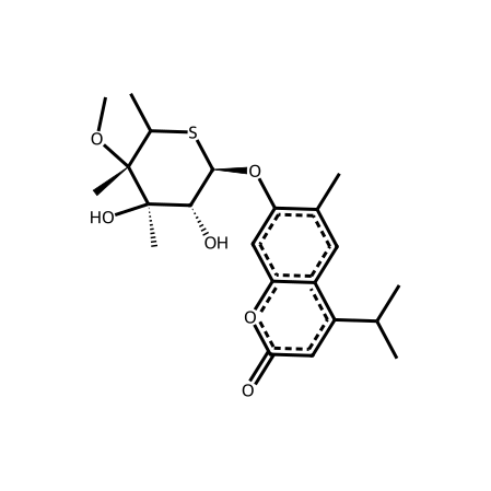 CO[C@]1(C)C(C)S[C@@H](Oc2cc3oc(=O)cc(C(C)C)c3cc2C)[C@H](O)[C@@]1(C)O